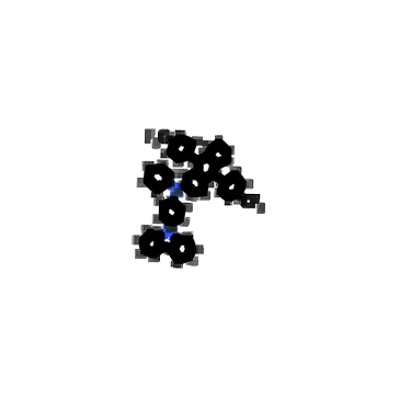 FC(F)(F)c1ccc(-c2c3ccccc3c(-c3ccc(C(F)(F)F)cc3)c3cc(N(c4ccccc4)c4ccc(-n5c6ccccc6c6ccccc65)cc4)ccc23)cc1